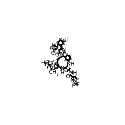 CC(=O)OC(F)(F)F.O=C(NCC[C@H]1Nc2cccc(c2)[C@@H](n2cnc(-c3cc(Cl)ccc3-n3cc(Cl)nn3)cc2=O)CCCCCNC1=O)c1ccn(C(F)F)n1.O=C(O)CC(F)(F)F